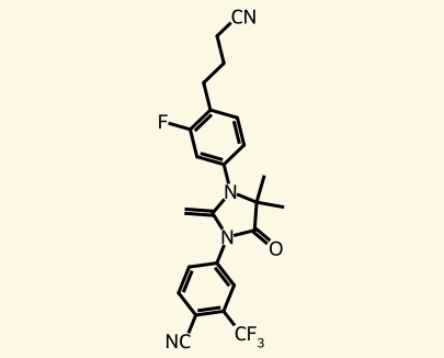 C=C1N(c2ccc(C#N)c(C(F)(F)F)c2)C(=O)C(C)(C)N1c1ccc(CCCC#N)c(F)c1